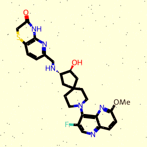 COc1ccc2ncc(F)c(N3CCC4(CC3)C[C@H](NCc3ccc5c(n3)NC(=O)CS5)[C@@H](O)C4)c2n1